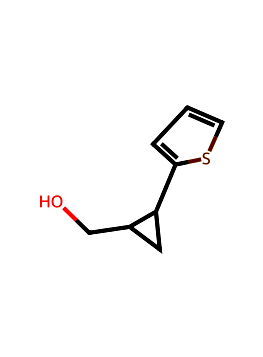 OCC1CC1c1cccs1